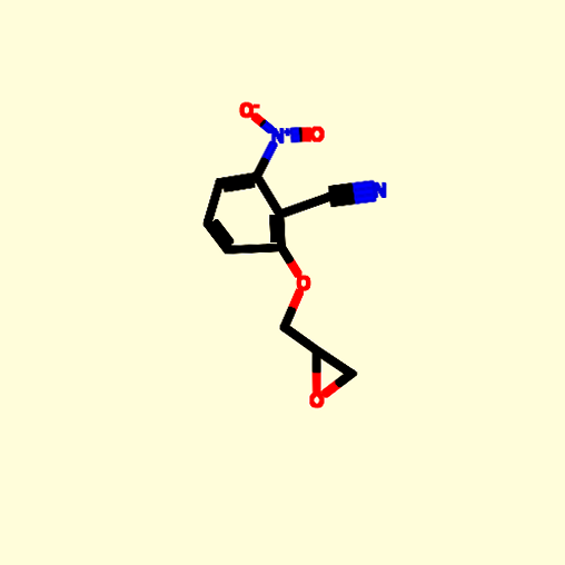 N#Cc1c(OCC2CO2)cccc1[N+](=O)[O-]